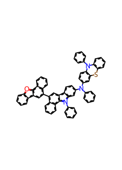 c1ccc(N(c2ccc3c(c2)Sc2ccccc2N3c2ccccc2)c2ccc3c4cc(-c5cc6c7ccccc7oc6c6ccccc56)c5ccccc5c4n(-c4ccccc4)c3c2)cc1